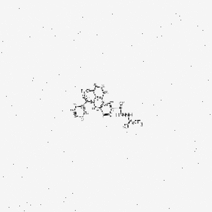 O=C(NNC(=O)C(F)(F)F)c1ccc(CN(C(=O)N2CCSCC2)c2ccccc2C(F)(F)F)cc1